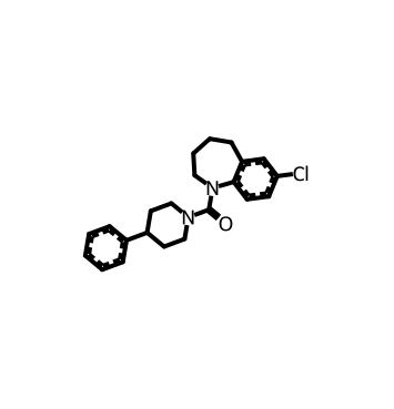 O=C(N1CCC(c2ccccc2)CC1)N1CCCCc2cc(Cl)ccc21